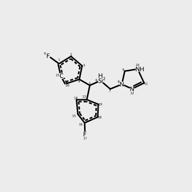 Fc1ccc(C([SiH2]CN2CNC=N2)c2ccc(F)cc2)cc1